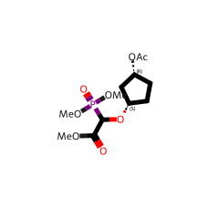 COC(=O)C(O[C@H]1CC[C@@H](OC(C)=O)C1)P(=O)(OC)OC